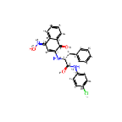 O=C1C(N[C@H](Cc2ccccc2)C(=O)Nc2ccc(Cl)cc2)=CC(=NO)c2ccccc21